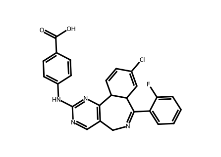 O=C(O)c1ccc(Nc2ncc3c(n2)C2C=CC(Cl)=CC2C(c2ccccc2F)=NC3)cc1